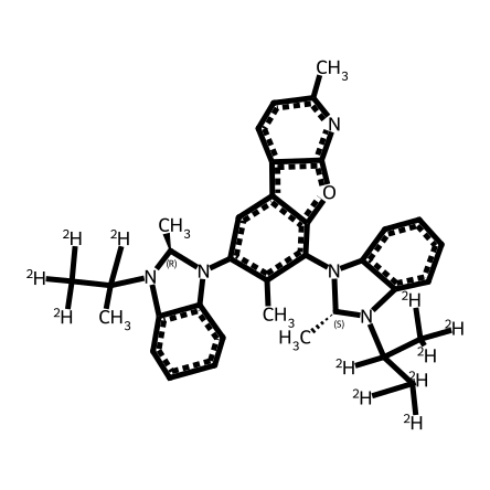 [2H]C([2H])([2H])C([2H])(C)N1c2ccccc2N(c2cc3c(oc4nc(C)ccc43)c(N3c4ccccc4N(C([2H])(C([2H])([2H])[2H])C([2H])([2H])[2H])[C@@H]3C)c2C)[C@@H]1C